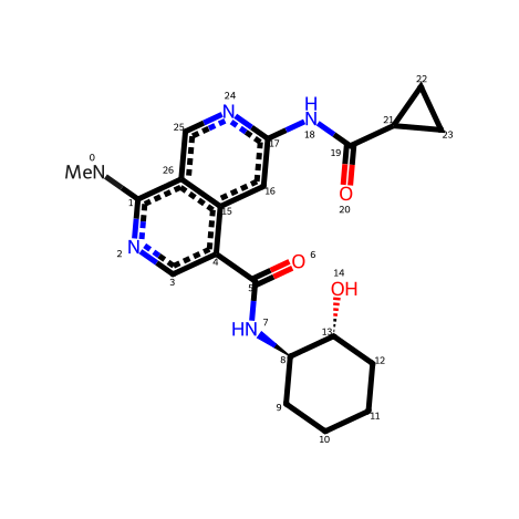 CNc1ncc(C(=O)N[C@@H]2CCCC[C@H]2O)c2cc(NC(=O)C3CC3)ncc12